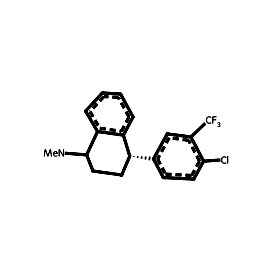 CNC1CC[C@@H](c2ccc(Cl)c(C(F)(F)F)c2)c2ccccc21